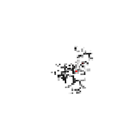 Clc1cccc(CO[C@@H]2C3CCN(CC3)[C@@H]2C(c2ccccc2)c2ccccc2)c1